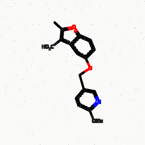 COc1ccc(COc2ccc3oc(C)c(C(=O)O)c3c2)cn1